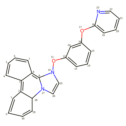 C1=CC2=c3ccccc3=C3N(Oc4cccc(Oc5ccccn5)c4)C=CN3C2C=C1